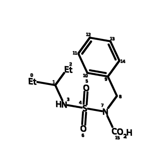 CCC(CC)NS(=O)(=O)N(Cc1ccccc1)C(=O)O